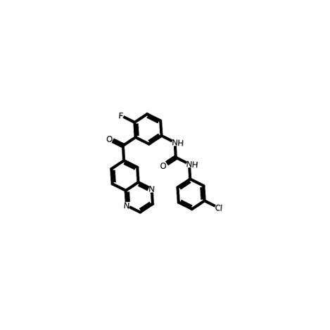 O=C(Nc1cccc(Cl)c1)Nc1ccc(F)c(C(=O)c2ccc3nccnc3c2)c1